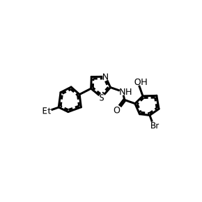 CCc1ccc(-c2cnc(NC(=O)c3cc(Br)ccc3O)s2)cc1